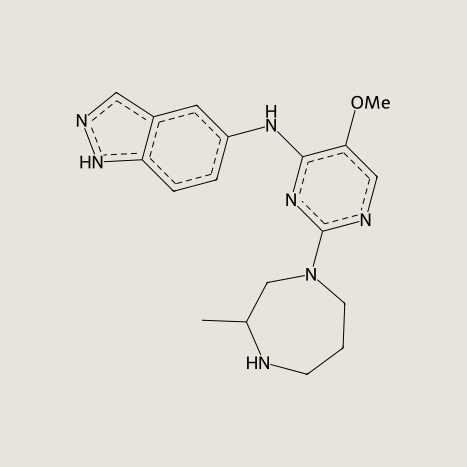 COc1cnc(N2CCCNC(C)C2)nc1Nc1ccc2[nH]ncc2c1